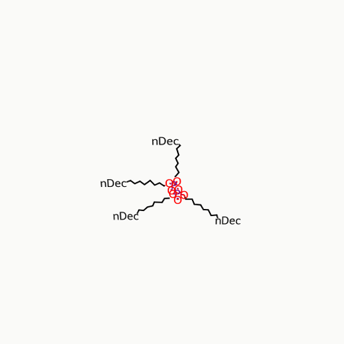 CCCCCCCCCCCCCCCCCCOP(=O)(OCCCCCCCCCCCCCCCCCC)OP(=O)(OCCCCCCCCCCCCCCCCCC)OCCCCCCCCCCCCCCCCCC